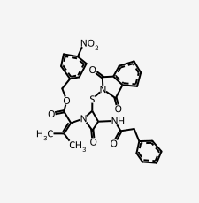 CC(C)=C(C(=O)OCc1ccc([N+](=O)[O-])cc1)N1C(=O)C(NC(=O)Cc2ccccc2)C1SN1C(=O)c2ccccc2C1=O